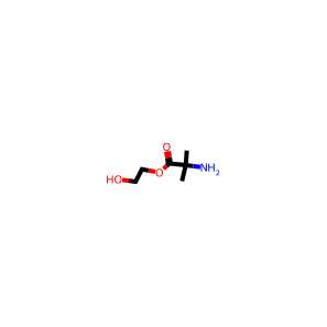 CC(C)(N)C(=O)OCCO